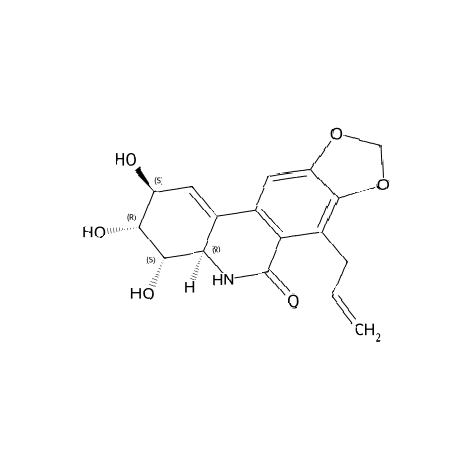 C=CCc1c2c(cc3c1C(=O)N[C@@H]1C3=C[C@H](O)[C@@H](O)[C@H]1O)OCO2